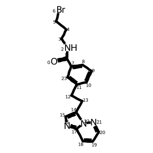 O=C(NCCCBr)c1cccc(CCc2cnc3cccnn23)c1